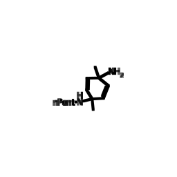 CCCCCNC1(C)C=CC(C)(N)C=C1